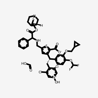 O=C([O-])c1sc(CNC(C(=O)O[C@H]2CN3CCC2CC3)c2ccccc2)cc1[C@@H](Cc1c(Cl)c[n+](O)cc1Cl)c1ccc(OC(F)F)c(OCC2CC2)c1.O=CO